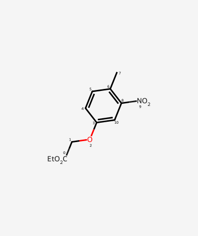 CCOC(=O)COc1ccc(C)c([N+](=O)[O-])c1